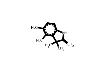 C=C1Nc2ccc(C)c(C)c2C1(C)C